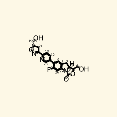 O=C1OC(CO)[C@@H]2Cc3cc(-c4ccc(C5=NO[C@H](CO)C5)nc4)c(F)cc3N12